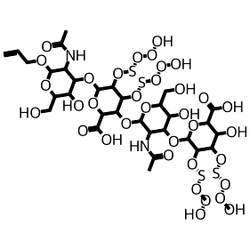 C=CCOC1OC(CO)C(O)C(OC2OC(C(=O)O)C(OC3OC(CO)C(O)C(OC4OC(C(=O)O)C(O)C(OSOOO)C4OSOOO)C3NC(C)=O)C(OSOOO)C2OSOOO)C1NC(C)=O